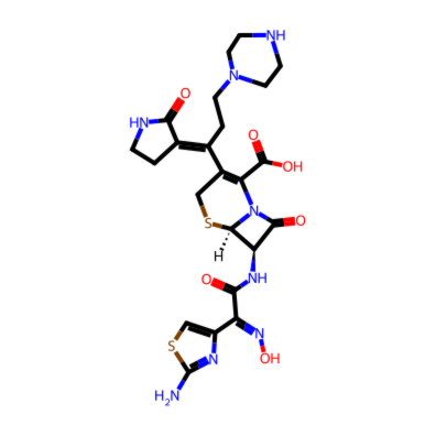 Nc1nc(C(=NO)C(=O)N[C@@H]2C(=O)N3C(C(=O)O)=C(C(CCN4CCNCC4)=C4CCNC4=O)CS[C@H]23)cs1